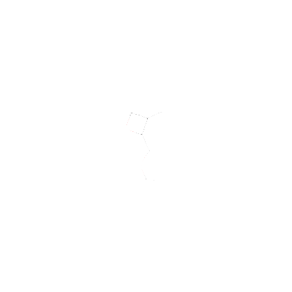 CC[CH]OCC1OCC1CC